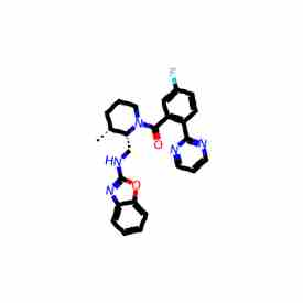 C[C@@H]1CCCN(C(=O)c2cc(F)ccc2-c2ncccn2)[C@@H]1CNc1nc2ccccc2o1